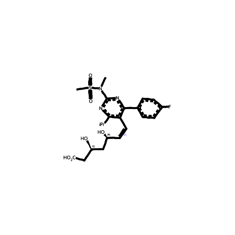 CC(C)c1nc(N(C)S(C)(=O)=O)nc(-c2ccc(F)cc2)c1/C=C\[C@H](O)C[C@H](O)CC(=O)O